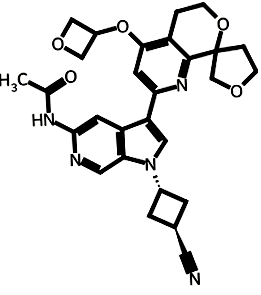 CC(=O)Nc1cc2c(-c3cc(OC4COC4)c4c(n3)C3(CCOC3)OCC4)cn([C@H]3C[C@H](C#N)C3)c2cn1